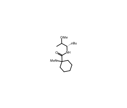 CCCC[C@H](NC(=O)C1(NC)CCCCC1)C(C)OC